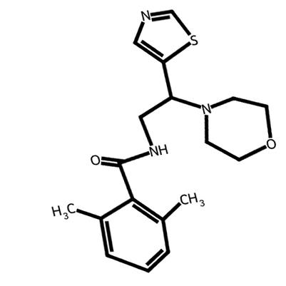 Cc1cccc(C)c1C(=O)NCC(c1cncs1)N1CCOCC1